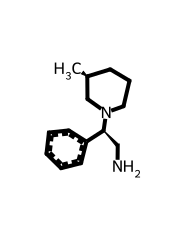 C[C@H]1CCCN([C@@H](CN)c2ccccc2)C1